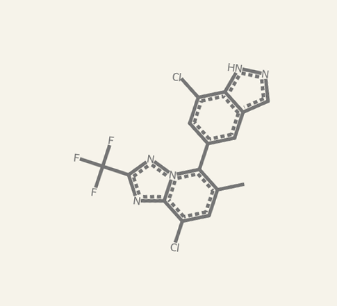 Cc1cc(Cl)c2nc(C(F)(F)F)nn2c1-c1cc(Cl)c2[nH]ncc2c1